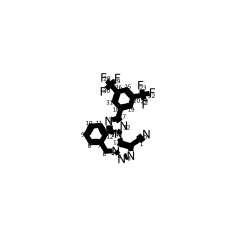 N#Cc1nnn(Cc2ccccc2)c1-n1cnc(-c2cc(C(F)(F)F)cc(C(F)(F)F)c2)n1